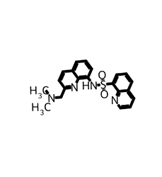 CN(C)Cc1ccc2cccc(NS(=O)(=O)c3cccc4cccnc34)c2n1